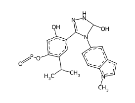 CC(C)c1cc(C2=NNC(O)N2c2ccc3c(ccn3C)c2)c(O)cc1OP=O